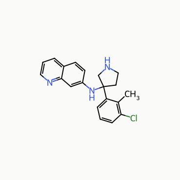 Cc1c(Cl)cccc1C1(Nc2ccc3cccnc3c2)CCNC1